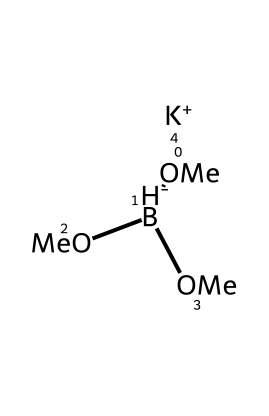 CO[BH-](OC)OC.[K+]